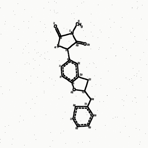 CN1C(=O)SC(c2ccc3c(c2)CC(Cc2ccccc2)O3)C1=O